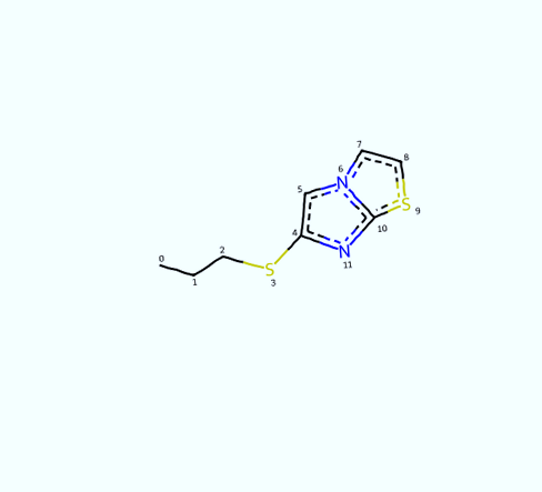 CCCSc1cn2ccsc2n1